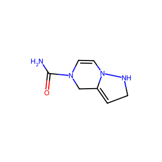 NC(=O)N1C=CN2NCC=C2C1